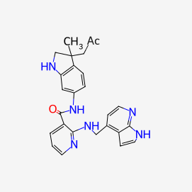 CC(=O)CC1(C)CNc2cc(NC(=O)c3cccnc3NCc3ccnc4[nH]ccc34)ccc21